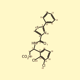 O=C(O)CC(NC(=O)c1csc(-c2ccccc2)n1)c1cccc(Cl)c1Cl